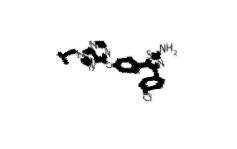 CC(C)Cn1cnc2c(Oc3ccc(-c4sc(N)nc4-c4ccc(Cl)cc4)cc3)ncnc21